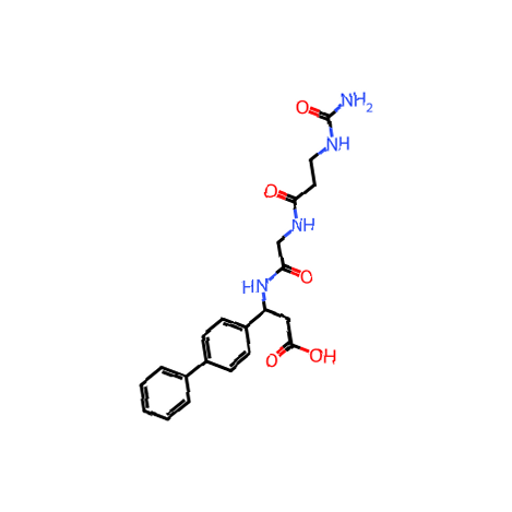 NC(=O)NCCC(=O)NCC(=O)NC(CC(=O)O)c1ccc(-c2ccccc2)cc1